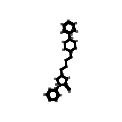 O=C1OC(CCCCN2CCN(c3ncccn3)CC2)CN1c1ccccc1